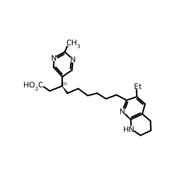 CCc1cc2c(nc1CCCCCC[C@@H](CC(=O)O)c1cnc(C)nc1)NCCC2